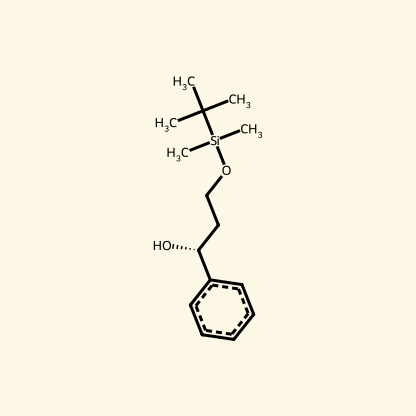 CC(C)(C)[Si](C)(C)OCC[C@@H](O)c1ccccc1